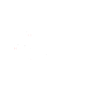 C=Cc1ccc([As](=O)(O)O)cc1